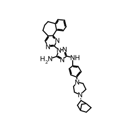 Nc1nc(Nc2ccc(N3CCN([C@H]4CC5CCC4C5)CC3)cc2)nn1-c1ncc2c(n1)-c1ccccc1CCC2